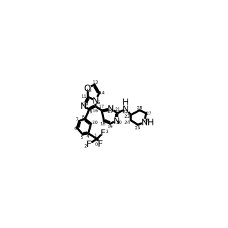 FC(F)(F)c1cccc(-c2nc3occn3c2-c2ccnc(NC3CCNCC3)n2)c1